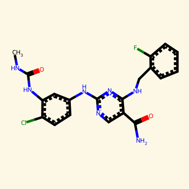 CNC(=O)Nc1cc(Nc2ncc(C(N)=O)c(NCc3ccccc3F)n2)ccc1Cl